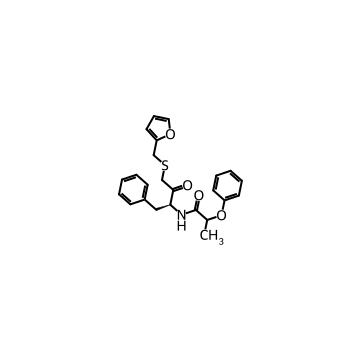 CC(Oc1ccccc1)C(=O)N[C@@H](Cc1ccccc1)C(=O)CSCc1ccco1